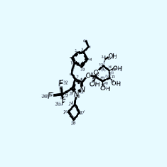 CCc1ccc(Cc2c(O[C@]3(O)O[C@H](CO)[C@@H](O)[C@H](O)[C@H]3O)nn(C3CCC3)c2C(F)(F)F)cc1